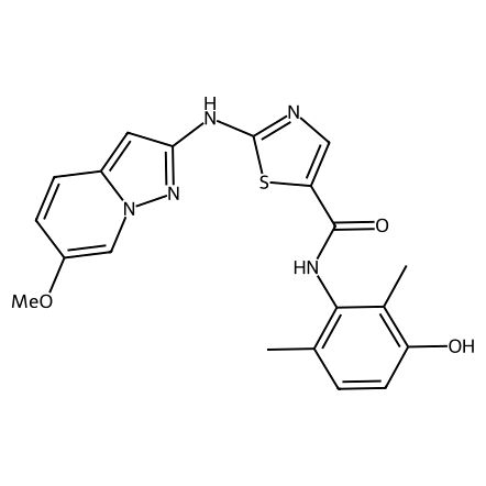 COc1ccc2cc(Nc3ncc(C(=O)Nc4c(C)ccc(O)c4C)s3)nn2c1